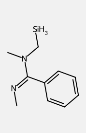 C/N=C(\c1ccccc1)N(C)C[SiH3]